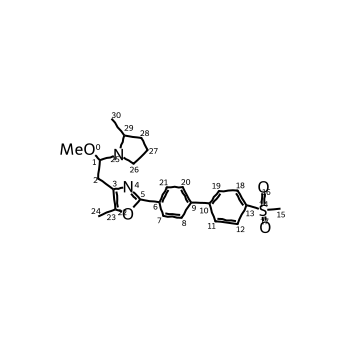 COC(Cc1nc(-c2ccc(-c3ccc(S(C)(=O)=O)cc3)cc2)oc1C)N1CCCC1C